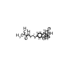 CC(C)C(=O)NCCCc1ccc(N2CC(=O)NS2(=O)=O)c(O)c1